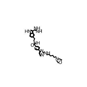 N=C(N)c1c[nH]c2ccc(CCNC(=O)c3ccc(-c4ccnc(NCCCCCCN5CCOCC5)n4)cc3)cc12